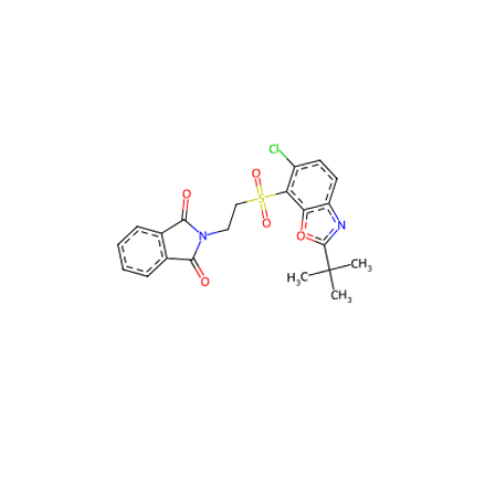 CC(C)(C)c1nc2ccc(Cl)c(S(=O)(=O)CCN3C(=O)c4ccccc4C3=O)c2o1